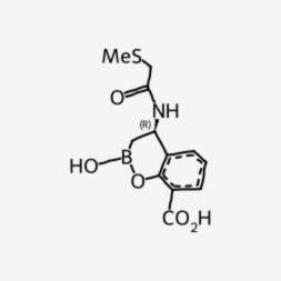 CSCC(=O)N[C@@H]1CB(O)Oc2c(C(=O)O)cccc21